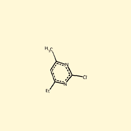 CCc1cc(C)nc(Cl)n1